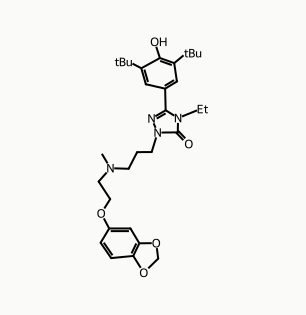 CCn1c(-c2cc(C(C)(C)C)c(O)c(C(C)(C)C)c2)nn(CCCN(C)CCOc2ccc3c(c2)OCO3)c1=O